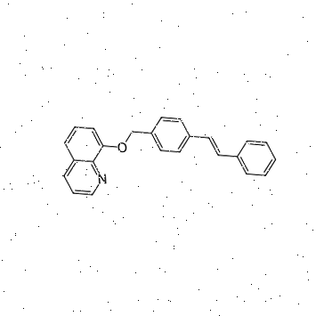 C(=Cc1ccc(COc2cccc3cccnc23)cc1)c1ccccc1